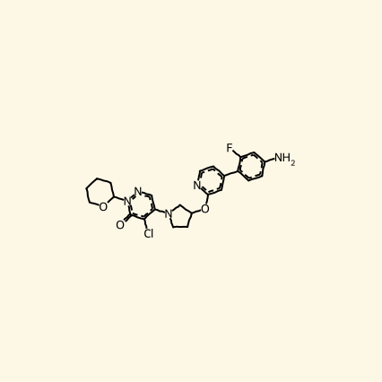 Nc1ccc(-c2ccnc(OC3CCN(c4cnn(C5CCCCO5)c(=O)c4Cl)C3)c2)c(F)c1